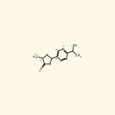 CC(S)c1ccc(C2CC(=O)N(C)C2)cn1